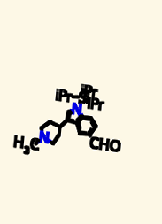 CC(C)[Si](C(C)C)(C(C)C)n1cc(C2CCN(C)CC2)c2cc(C=O)ccc21